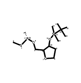 CS[P@](C)OCC1OCCC1O[Si](C)(C)C(C)(C)C